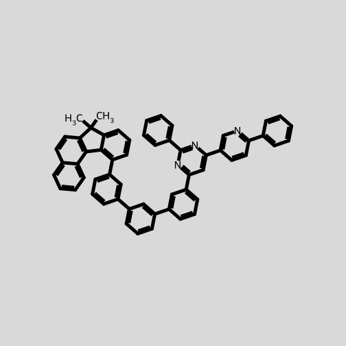 CC1(C)c2cccc(-c3cccc(-c4cccc(-c5cccc(-c6cc(-c7ccc(-c8ccccc8)nc7)nc(-c7ccccc7)n6)c5)c4)c3)c2-c2c1ccc1ccccc21